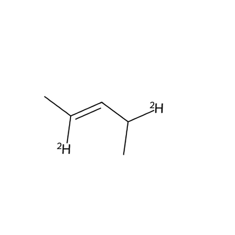 [2H]C(C)=CC([2H])C